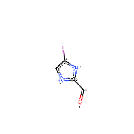 O=Cc1nc(I)c[nH]1